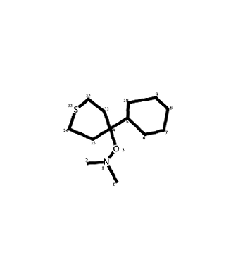 CN(C)OC1(C2CCCCC2)CCSCC1